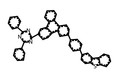 c1ccc(-c2nc(-c3ccccc3)nc(-c3ccc4c5cc(-c6ccc(-c7ccc8sc9ccccc9c8c7)cc6)ccc5c5ccccc5c4c3)n2)cc1